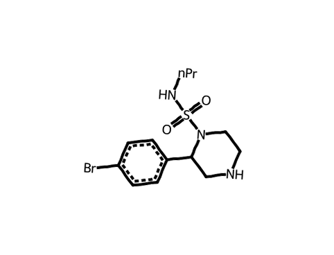 CCCNS(=O)(=O)N1CCNCC1c1ccc(Br)cc1